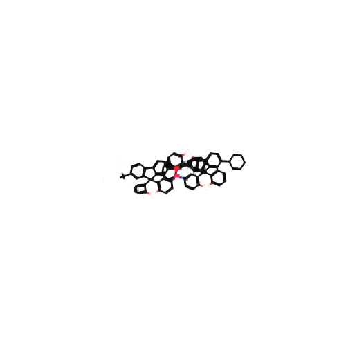 CC(C)(C)c1ccc2c(c1)C1(c3ccccc3Oc3ccc(N(c4ccc5c(c4)C4(c6ccccc6O5)c5cc(C6CCCCC6)ccc5-c5ccc(C6CCCCC6)cc54)c4cccc5oc6ccccc6c45)cc31)c1cc(C(C)(C)C)ccc1-2